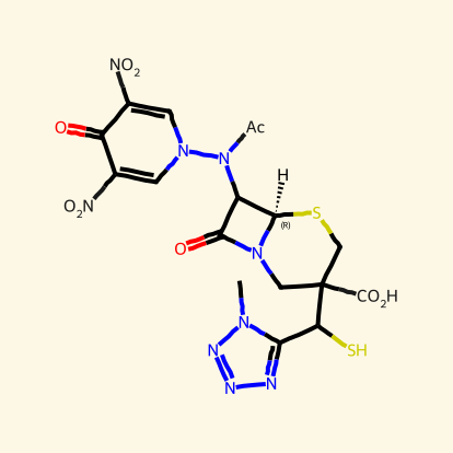 CC(=O)N(C1C(=O)N2CC(C(=O)O)(C(S)c3nnnn3C)CS[C@H]12)n1cc([N+](=O)[O-])c(=O)c([N+](=O)[O-])c1